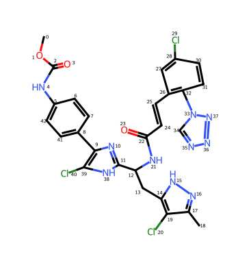 COC(=O)Nc1ccc(-c2nc(C(Cc3[nH]nc(C)c3Cl)NC(=O)C=Cc3cc(Cl)ccc3-n3cnnn3)[nH]c2Cl)cc1